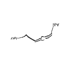 CCCC=C=CCCCC